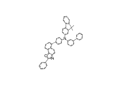 CC1(C)c2ccccc2-c2ccc(N(c3ccc(-c4cccc5c4ccc4nc(-c6ccccc6)oc45)cc3)c3cccc(-c4ccccc4)c3)cc21